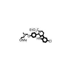 CCOC(=O)N1CCc2c([nH]c3ccc(Cl)cc23)C1c1ccc(OCN(C)CCOC)cc1